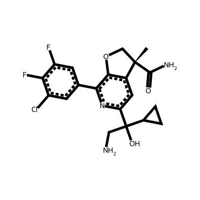 C[C@]1(C(N)=O)COc2c1cc(C(O)(CN)C1CC1)nc2-c1cc(F)c(F)c(Cl)c1